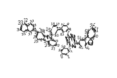 c1ccc(-c2nc(-c3cccc(-c4cccc(-n5c6ccccc6c6ccc(-c7ccc8ccccc8c7)cc65)c4)c3)nc(-c3ccc4oc5ccccc5c4c3)n2)cc1